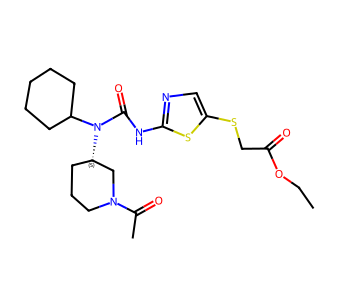 CCOC(=O)CSc1cnc(NC(=O)N(C2CCCCC2)[C@H]2CCCN(C(C)=O)C2)s1